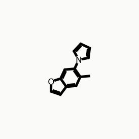 Cc1cc2ccoc2cc1-n1cccc1